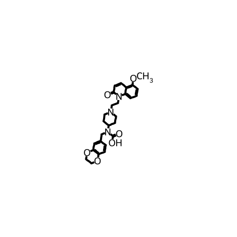 COc1cccc2c1ccc(=O)n2CCN1CCC(N(Cc2ccc3c(c2)OCCO3)C(=O)O)CC1